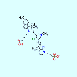 Cc1ccc2c3c(ccc2c1)[N+](CCCCCC(=O)O)=C(/C=C/C1=C(Cl)C(=C/C=C2/N=C4C(=CC=CN4CCCCS(=O)(=O)[O-])C2(C)C)/CN(C)C1)C3(C)C